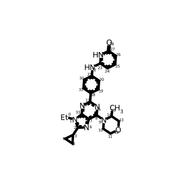 CCn1c(C2CC2)nc2c(N3CCOCC3C)nc(-c3ccc(Nc4cccc(=O)[nH]4)cc3)nc21